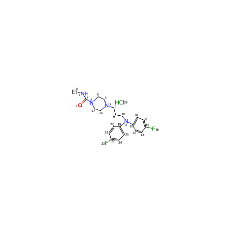 CCNC(=O)N1CCN(CCCN(c2ccc(F)cc2)c2ccc(F)cc2)CC1.Cl